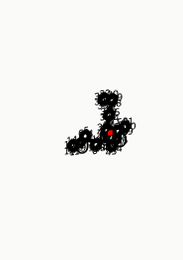 c1cc(-c2cccc3c2oc2ccccc23)cc(N(c2ccc(-c3ccc(-c4cccc5ccccc45)cc3)cc2)c2cccc3oc4c5ccccc5ccc4c23)c1